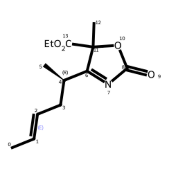 C/C=C/C[C@@H](C)C1=NC(=O)OC1(C)C(=O)OCC